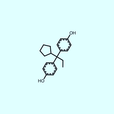 CCC(c1ccc(O)cc1)(c1ccc(O)cc1)C1CCCC1